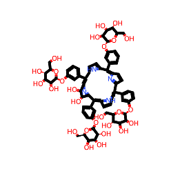 OCC1O[C@@H](Oc2cccc(-c3c4nc(c(-c5cccc(O[C@@H]6OC(CO)[C@@H](O)C(O)C6O)c5)c5ccc([nH]5)c(-c5cccc(O[C@@H]6OC(CO)[C@@H](O)C(O)C6O)c5)c5nc(c(-c6cccc(OC7O[C@H](CO)C(O)C(O)[C@H]7O)c6)c6ccc3[nH]6)C(O)C5O)C=C4)c2)C(O)C(O)[C@@H]1O